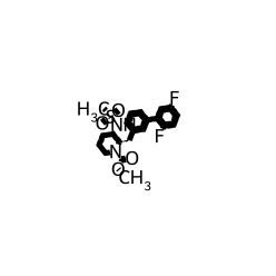 COC(=O)N1CCC[C@H](NS(C)(=O)=O)[C@@H]1Cc1cccc(-c2cc(F)ccc2F)c1